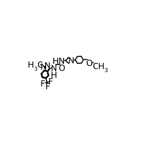 CCOCC1CCC(N2CC(NC(=O)CNc3nn(C)c4ccc(C(F)(F)F)cc34)C2)CC1